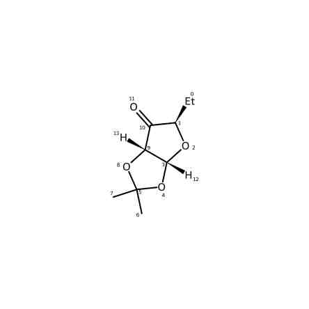 CC[C@H]1O[C@@H]2OC(C)(C)O[C@@H]2C1=O